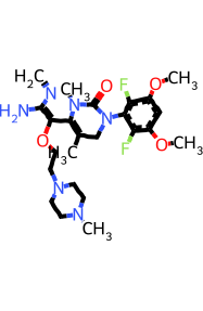 C=N/C(N)=C(/OCCN1CCN(C)CC1)C1=C(C)CN(c2c(F)c(OC)cc(OC)c2F)C(=O)N1C